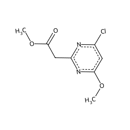 COC(=O)Cc1nc(Cl)cc(OC)n1